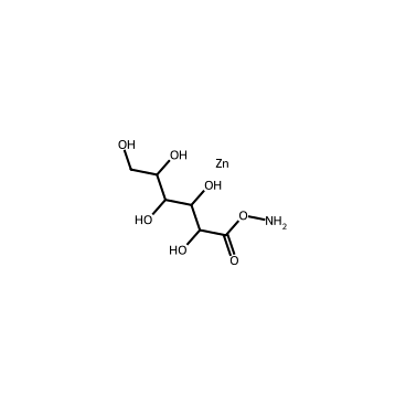 NOC(=O)C(O)C(O)C(O)C(O)CO.[Zn]